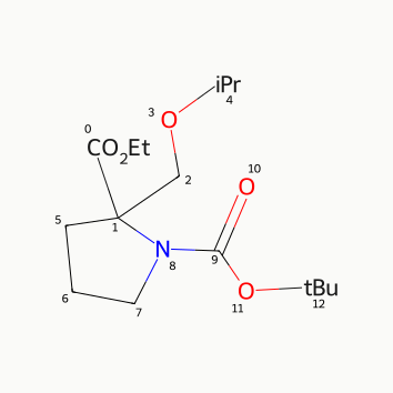 CCOC(=O)C1(COC(C)C)CCCN1C(=O)OC(C)(C)C